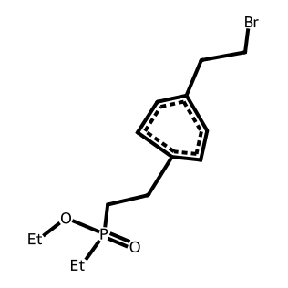 CCOP(=O)(CC)CCc1ccc(CCBr)cc1